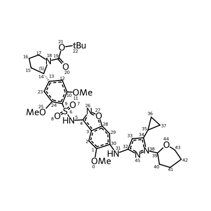 COc1cc2c(NS(=O)(=O)c3c(OC)cc([C@@H]4CCCN4C(=O)OC(C)(C)C)cc3OC)noc2cc1Nc1cc(C2CC2)n(C2CCCCO2)n1